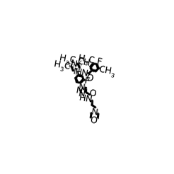 Cc1cc(C(=O)Nc2c(N3C[C@@H](C)N(C)[C@@H](C)C3)ccc(-n3cc(C(=O)NCCCN4CCOCC4)nn3)c2F)cc(C)c1F